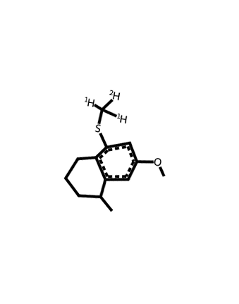 [1H]C([1H])([2H])Sc1cc(OC)cc2c1CCCC2C